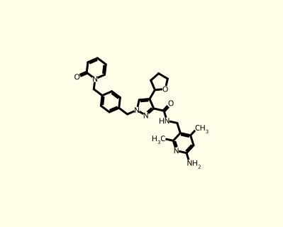 Cc1cc(N)nc(C)c1CNC(=O)c1nn(Cc2ccc(Cn3ccccc3=O)cc2)cc1C1CCCO1